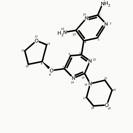 Nc1ncc(-c2cc(O[C@H]3CCOC3)nc(N3CCOCC3)n2)c(N)n1